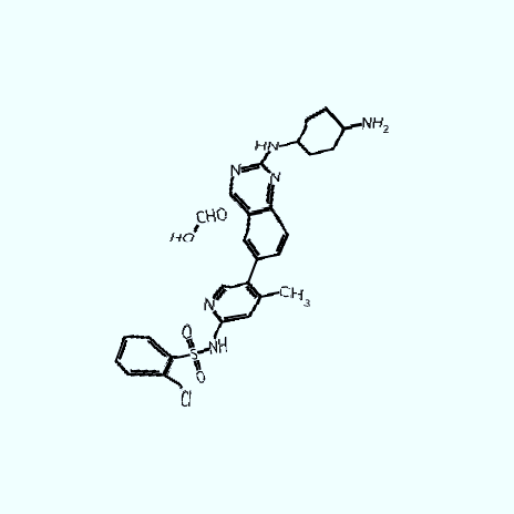 Cc1cc(NS(=O)(=O)c2ccccc2Cl)ncc1-c1ccc2nc(NC3CCC(N)CC3)ncc2c1.O=CO